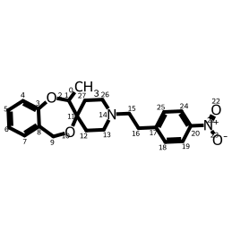 CC1Oc2ccccc2COC12CCN(CCc1ccc([N+](=O)[O-])cc1)CC2